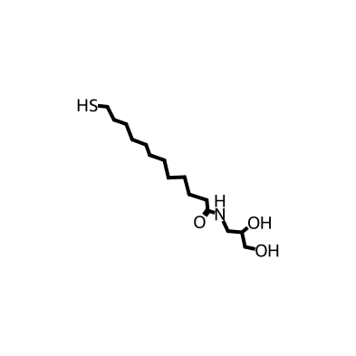 O=C(CCCCCCCCCCCS)NCC(O)CO